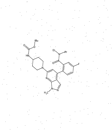 CCN(C(=O)c1cc(F)ccc1-c1cc(N2CCC(NC(=O)OC(C)(C)C)CC2)nc2c1cnn2C)C(C)C